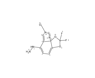 NNC1=CC=C2OC(F)(F)OC23N=CN(Cl)C=C13